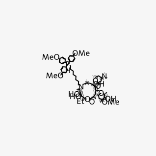 CC[C@H]1OC(=O)[C@H](C)[C@@H](C2C[C@@](C)(OC)[C@@H](O)[C@H](C)O2)[C@H](C)[C@@H](O[C@H]2C[C@@H](N(C)C)C[C@@H](C)O2)[C@](C)(O)C[C@@H](C)CN(CCCCCCCC[PH](c2ccc(OC)cc2)(c2ccc(OC)cc2)c2ccc(OC)cc2)[C@H](C)[C@@H](O)[C@]1(C)O